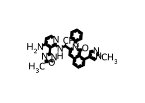 Cc1nc(-c2c(N)ccnc2N[C@@H](C)c2cc3cccc(-c4cnn(C)c4)c3c(=O)n2-c2ccccc2)no1